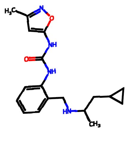 Cc1cc(NC(=O)Nc2ccccc2CNC(C)CC2CC2)on1